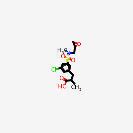 CCC(Cc1cc(Cl)cc(S(=O)(=O)N(C)CC2CO2)c1)C(=O)O